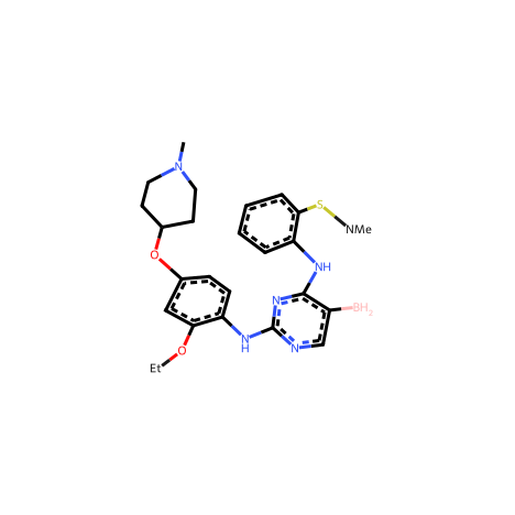 Bc1cnc(Nc2ccc(OC3CCN(C)CC3)cc2OCC)nc1Nc1ccccc1SNC